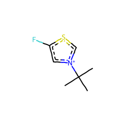 CC(C)(C)[n+]1csc(F)c1